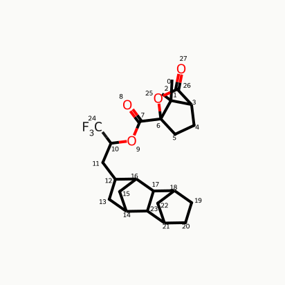 CC1(C)C2CCC1(C(=O)OC(CC1CC3CC1C1C4CCC(C4)C31)C(F)(F)F)OC2=O